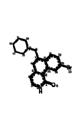 O=c1[nH]ccc2cc(CN3CCCCC3)c3ccc(Br)cc3c12